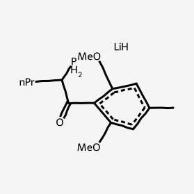 [CH2]CCC(P)C(=O)c1c(OC)cc(C)cc1OC.[LiH]